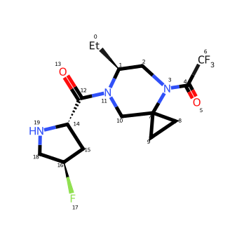 CC[C@H]1CN(C(=O)C(F)(F)F)C2(CC2)CN1C(=O)[C@@H]1C[C@@H](F)CN1